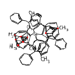 CC1=C(C)C(C)C([Si](c2c(-c3ccccc3)cc(C)c(-c3ccccc3)c2-c2ccccc2)(c2c(-c3ccccc3)cc(C)c(-c3ccccc3)c2-c2ccccc2)c2c(-c3ccccc3)cc(C)c(-c3ccccc3)c2-c2ccccc2)=C1C